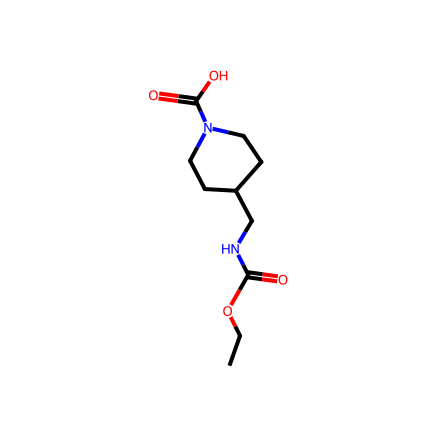 CCOC(=O)NCC1CCN(C(=O)O)CC1